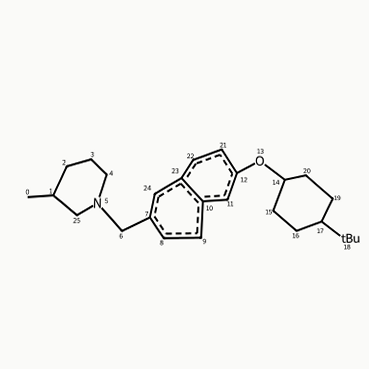 CC1CCCN(Cc2ccc3cc(OC4CCC(C(C)(C)C)CC4)ccc3c2)C1